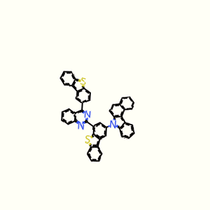 c1ccc2c(c1)ccc1c2c2ccccc2n1-c1cc(-c2nc(-c3ccc4sc5ccccc5c4c3)c3ccccc3n2)c2sc3ccccc3c2c1